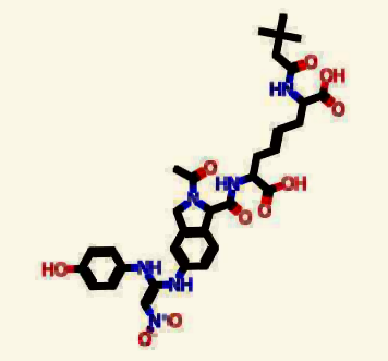 CC(=O)N1Cc2cc(N/C(=C\[N+](=O)[O-])Nc3ccc(O)cc3)ccc2C1C(=O)NC(C/C=C/CC(NC(=O)CC(C)(C)C)C(=O)O)C(=O)O